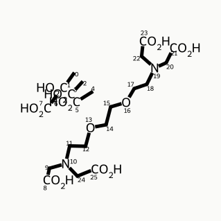 CC(=O)O.CC(=O)O.CC(=O)O.CC(=O)O.O=C(O)CN(CCOCCOCCN(CC(=O)O)CC(=O)O)CC(=O)O